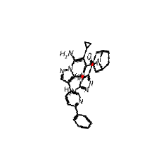 Nc1nnc(C(=O)N2C3CCC2CC(c2nc4c(-c5ccc(-c6ccccc6)nc5)cnn4c(N)c2C2CC2)C3)[nH]1